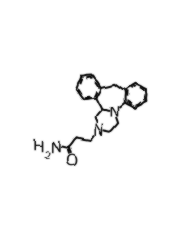 NC(=O)CCN1CCN2c3ccccc3Cc3ccccc3C2C1